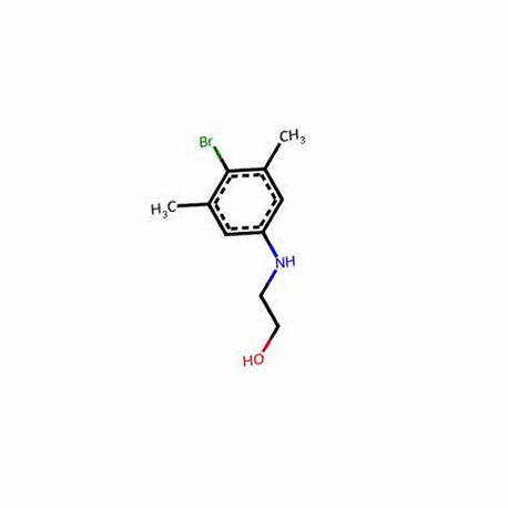 Cc1cc(NCCO)cc(C)c1Br